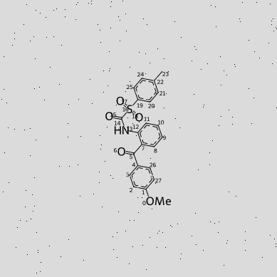 COc1ccc(C(=O)c2ccccc2NC(=O)S(=O)(=O)c2ccc(C)cc2)cc1